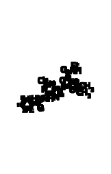 CCNC(=O)C1OC(n2cnc3c(NNC(=O)c4ccccc4)nc(Cl)nc32)C2OC(C)(C)OC12